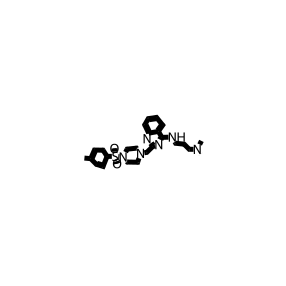 CC1=CCC(S(=O)(=O)N2CCN(Cc3nc(NCCCN(C)C)c4ccccc4n3)CC2)C=C1